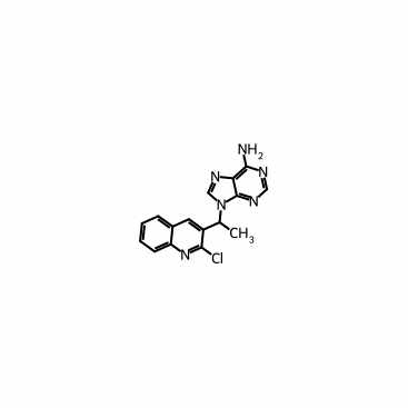 CC(c1cc2ccccc2nc1Cl)n1cnc2c(N)ncnc21